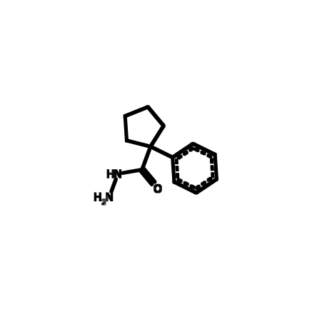 NNC(=O)C1(c2ccccc2)CCCC1